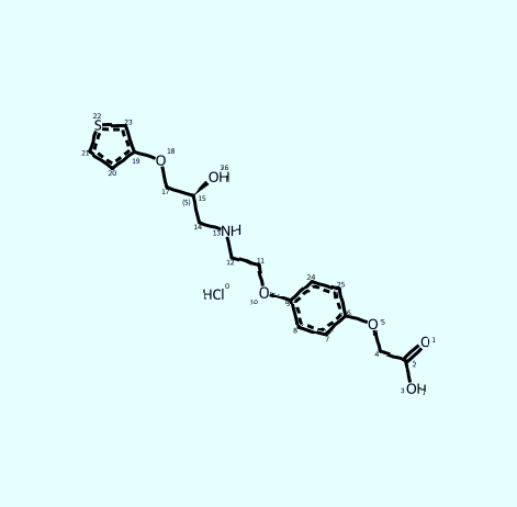 Cl.O=C(O)COc1ccc(OCCNC[C@H](O)COc2ccsc2)cc1